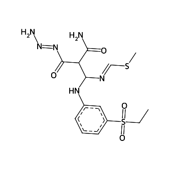 CCS(=O)(=O)c1cccc(NC(/N=C/SC)C(C(N)=O)C(=O)N=NN)c1